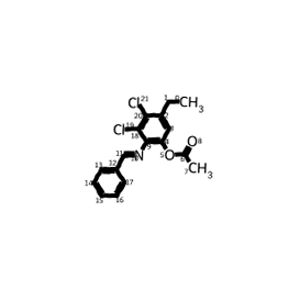 CCc1cc(OC(C)=O)c(N=Cc2ccccc2)c(Cl)c1Cl